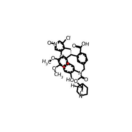 COc1ccc([C@H](Cc2c(Cl)c[n+]([O-])cc2Cl)c2cc(CN(C(=O)O[C@H]3CN4CCC3CC4)c3ccccc3O)ccc2C(=O)O)cc1OC